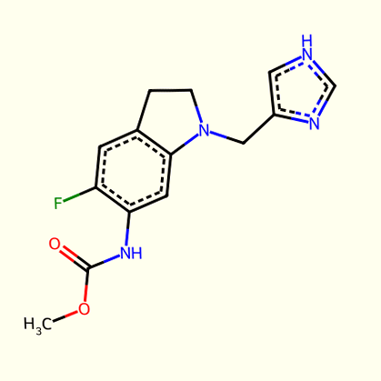 COC(=O)Nc1cc2c(cc1F)CCN2Cc1c[nH]cn1